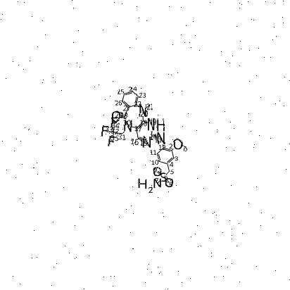 COc1cc(CS(N)(=O)=O)ccc1Nc1ncc2c(n1)N(C)c1ccccc1C(=O)N2CC(F)(F)F